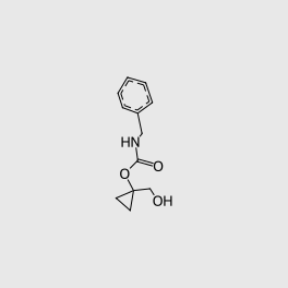 O=C(NCc1ccccc1)OC1(CO)CC1